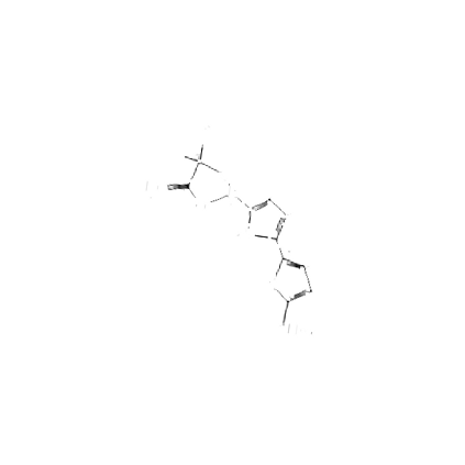 C=C1OB(c2ccc(-c3ccc(CCCCCC)s3)s2)OC1(C)C